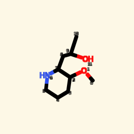 COC1CCCNC1CC(C)O